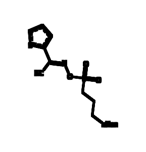 CCCCCCCCCCCCS(=O)(=O)ON=C(C#N)c1cccs1